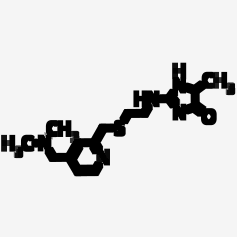 CC1NC(NCCSCc2cc(CN(C)C)ccn2)=NC1=O